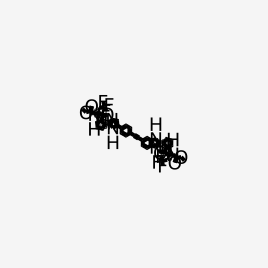 COC(=O)N[C@@H](CC(F)(F)F)C(=O)N1CCC[C@H]1c1ncc(-c2ccc(C#Cc3ccc4nc([C@@H]5CCCN5C(=O)[C@H](CC(F)(F)F)NC(=O)OC)[nH]c4c3)cc2)[nH]1